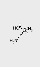 CN(CCC(=O)O)C(=O)CCCCCCN